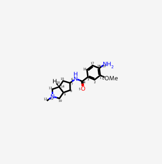 COc1cc(C(=O)NC2CC3CN(C)C[C@@H]3C2)ccc1N